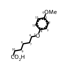 COc1ccc(OCCCCCC(=O)O)cc1